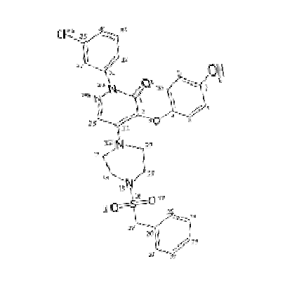 O=c1c(Oc2ccc(O)cc2)c(N2CCN(S(=O)(=O)Cc3ccccc3)CC2)cnn1-c1cccc(Cl)c1